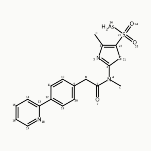 Cc1nc(N(C)C(=O)Cc2ccc(-c3ccccn3)cc2)sc1S(=O)(=O)[AsH2]